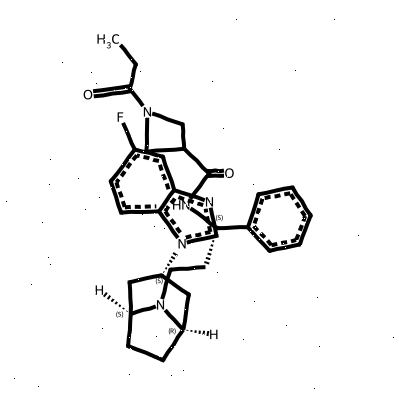 CCC(=O)N1CC(C(=O)N[C@@H](CCN2[C@@H]3CC[C@H]2C[C@H](n2cnc4cc(F)ccc42)C3)c2ccccc2)C1